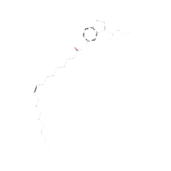 CCCCCCCC/C=C\CCCCCCCC(=O)Oc1ccc2c(c1)C(NCCC)CC2